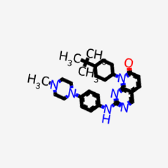 CN1CCN(c2ccc(Nc3ncc4ccc(=O)n(C5CCC(C(C)(C)C)CC5)c4n3)cc2)CC1